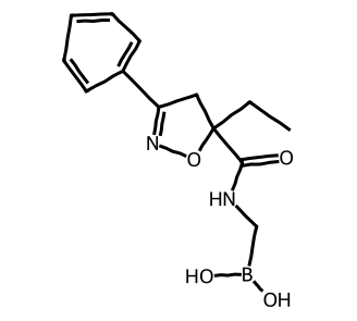 CCC1(C(=O)NCB(O)O)CC(c2ccccc2)=NO1